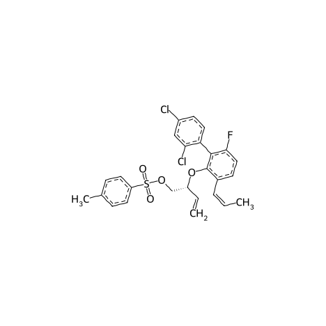 C=C[C@H](COS(=O)(=O)c1ccc(C)cc1)Oc1c(/C=C\C)ccc(F)c1-c1ccc(Cl)cc1Cl